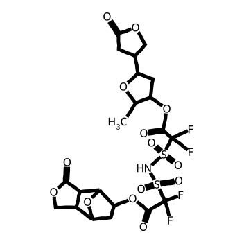 CC1OC(C2COC(=O)C2)CC1OC(=O)C(F)(F)S(=O)(=O)NS(=O)(=O)C(F)(F)C(=O)OC1CC2OC1C1C(=O)OCC21